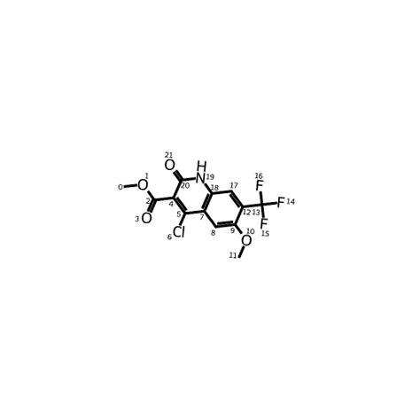 COC(=O)c1c(Cl)c2cc(OC)c(C(F)(F)F)cc2[nH]c1=O